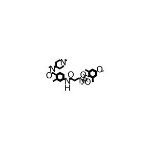 COc1cc(C)c(S(=O)(=O)N(C)CCC(=O)Nc2ccc(C(=O)N(C)C3CCN(C)CC3)c(C)c2)c(C)c1